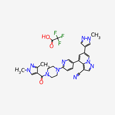 Cc1nn(C)cc1C(=O)N1CCN(c2ccc(-c3cc(-c4cnn(C)c4)cn4ncc(C#N)c34)cn2)CC1.O=C(O)C(F)(F)F